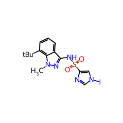 Cn1nc(NS(=O)(=O)c2cn(I)cn2)c2cccc(C(C)(C)C)c21